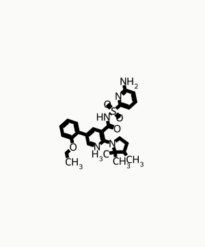 CCOc1ccccc1-c1cnc(N2CCC(C)C2(C)C)c(C(=O)NS(=O)(=O)c2cccc(N)n2)c1